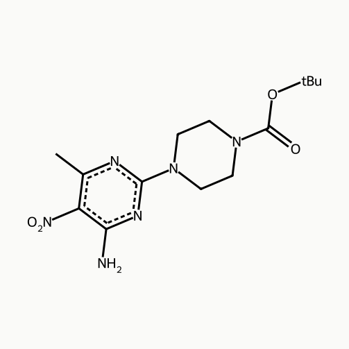 Cc1nc(N2CCN(C(=O)OC(C)(C)C)CC2)nc(N)c1[N+](=O)[O-]